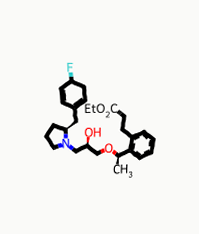 CCOC(=O)CCc1ccccc1[C@@H](C)OC[C@H](O)CN1CCC[C@H]1CC1=CCC(F)C=C1